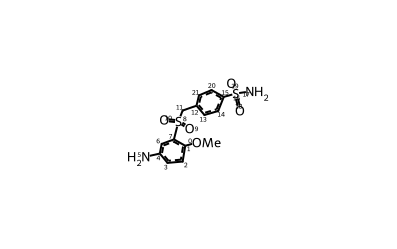 COc1ccc(N)cc1S(=O)(=O)Cc1ccc(S(N)(=O)=O)cc1